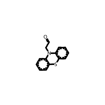 O=CCN1c2ccccc2Sc2ccccc21